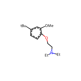 CCN(CC)CCOc1ccc(C(C)(C)C)cc1OC